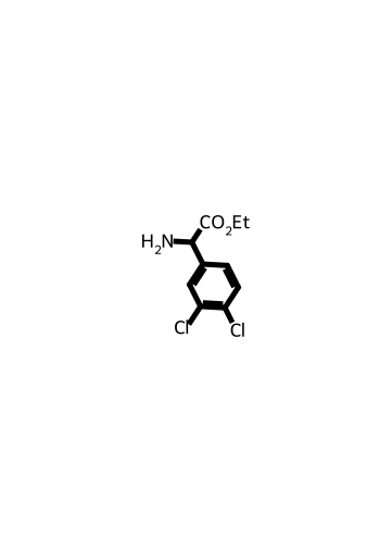 CCOC(=O)C(N)c1ccc(Cl)c(Cl)c1